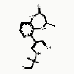 C[C@@H]1CC(=O)Nc2cccc(/C(C=N)=C/NC(C)(C)CO)c2N1